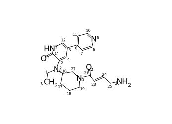 CCN(c1cc(-c2ccncc2)c[nH]c1=O)[C@@H]1CCCN(C(=O)C=CCN)C1